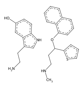 CNCCC(Oc1cccc2ccccc12)c1cccs1.NCCc1c[nH]c2ccc(O)cc12